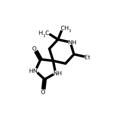 CCC1CC2(CC(C)(C)N1)NC(=O)NC2=O